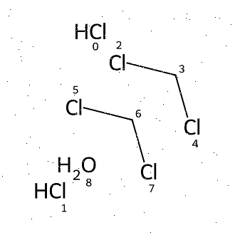 Cl.Cl.ClCCl.ClCCl.O